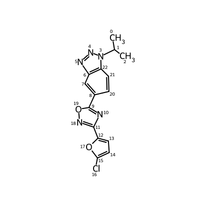 CC(C)n1nnc2cc(-c3nc(-c4ccc(Cl)o4)no3)ccc21